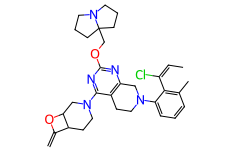 C=C1OC2CN(c3nc(OCC45CCCN4CCC5)nc4c3CCN(c3cccc(C)c3/C(Cl)=C\C)C4)CCC12